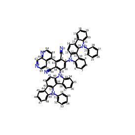 N#Cc1c(-n2c3ccccc3c3c2ccc2c4ccccc4n(-c4ccccc4)c23)cc(-n2c3ccccc3c3c2ccc2c4ccccc4n(-c4ccccc4)c23)c(C#N)c1-c1ccnc2cnccc12